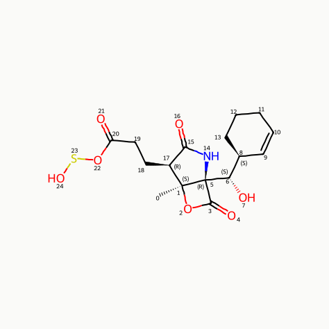 C[C@@]12OC(=O)[C@]1([C@@H](O)[C@@H]1C=CCCC1)NC(=O)[C@@H]2CCC(=O)OSO